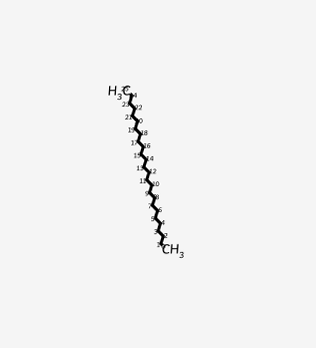 CCCCCCCC[CH]CCCCCCCCCCCCCCCCC